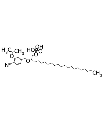 CCCCCCCCCCCCCCCCCCCC(COP(=O)(O)O)OCc1ccc(C#N)c(OC(C)C)c1